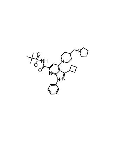 CC(C)(C)S(=O)(=O)NC(=O)c1cc(N2CCC(CN3CCCC3)CC2)c2c(C3CCC3)nn(-c3ccccc3)c2n1